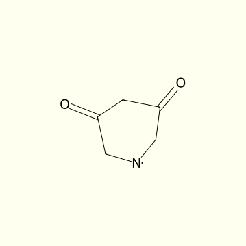 O=C1C[N]CC(=O)C1